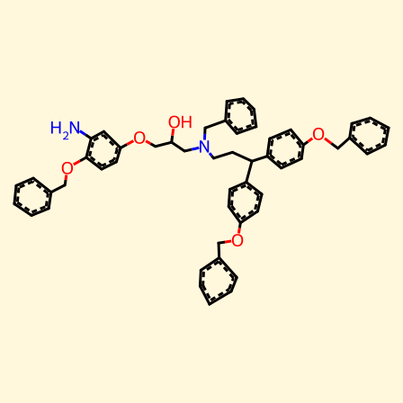 Nc1cc(OCC(O)CN(CCC(c2ccc(OCc3ccccc3)cc2)c2ccc(OCc3ccccc3)cc2)Cc2ccccc2)ccc1OCc1ccccc1